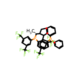 C[C@H](C1CCCC1c1ccccc1P(c1ccccc1)c1ccccc1)P(c1cc(C(F)(F)F)cc(C(F)(F)F)c1)c1cc(C(F)(F)F)cc(C(F)(F)F)c1